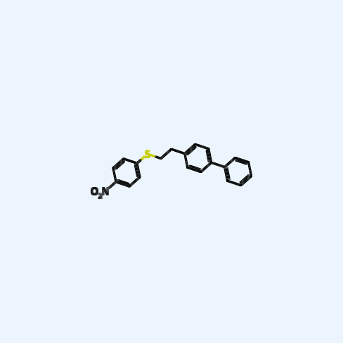 O=[N+]([O-])c1ccc(SCCc2ccc(-c3ccccc3)cc2)cc1